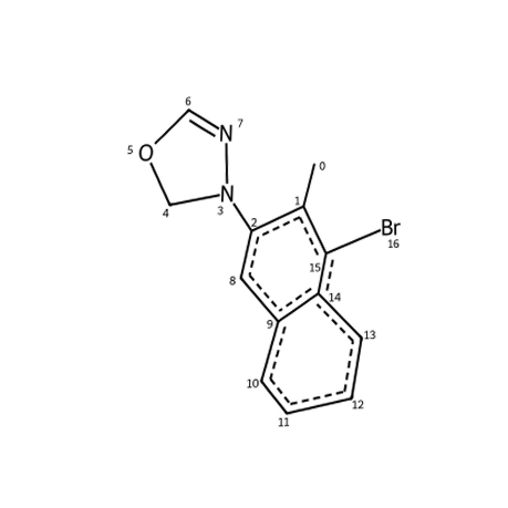 Cc1c(N2COC=N2)cc2ccccc2c1Br